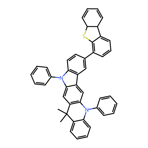 CC1(C)c2ccccc2N(c2ccccc2)c2cc3c4cc(-c5cccc6c5SC5C=CC=CC65)ccc4n(-c4ccccc4)c3cc21